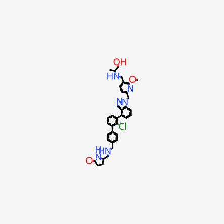 COc1nc(Cn2ncc3c(-c4cccc(-c5ccc(CNCC6CCC(=O)N6)cc5)c4Cl)cccc32)ccc1CNC(C)CO